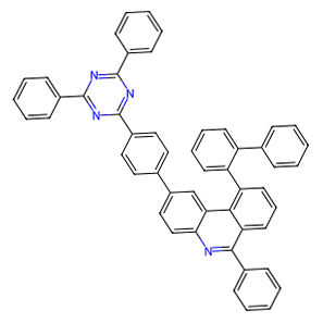 c1ccc(-c2nc(-c3ccccc3)nc(-c3ccc(-c4ccc5nc(-c6ccccc6)c6cccc(-c7ccccc7-c7ccccc7)c6c5c4)cc3)n2)cc1